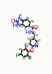 Cn1c(=O)[nH]c2cc(C(=O)NCc3ccc(Oc4c(F)cc(F)cc4F)nc3)ccc21